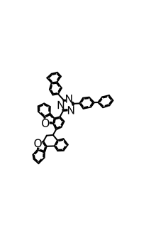 c1ccc(-c2ccc(-c3nc(-c4ccc5ccccc5c4)nc(-c4ccc(C5Cc6oc7ccccc7c6-c6ccccc65)c5oc6ccccc6c45)n3)cc2)cc1